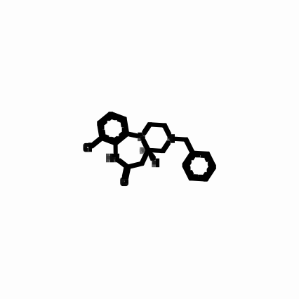 O=C1C[C@H]2CN(Cc3ccccc3)CCN2c2cccc(Cl)c2N1